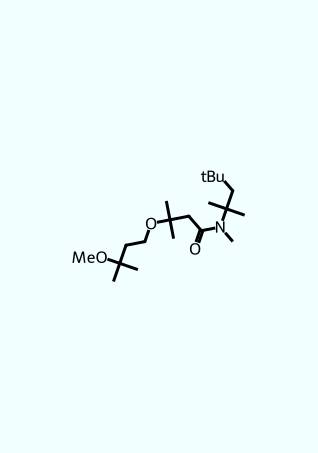 COC(C)(C)CCOC(C)(C)CC(=O)N(C)C(C)(C)CC(C)(C)C